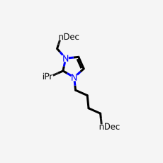 CCCCCCCCCCCCCCN1C=CN(CCCCCCCCCCC)C1C(C)C